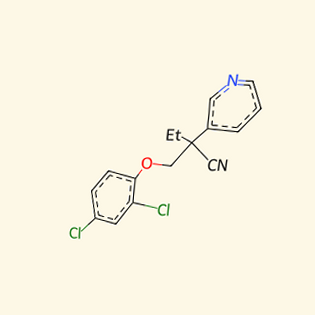 CCC(C#N)(COc1ccc(Cl)cc1Cl)c1cccnc1